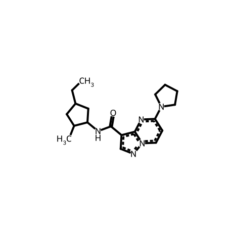 CCC1CC(C)C(NC(=O)c2cnn3ccc(N4CCCC4)nc23)C1